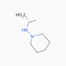 C[C@H](NN1CCCCC1)C(=O)O